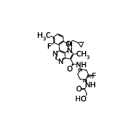 Cc1ccc(OCC2CC2)c(-c2ncnc3c(C(=O)N[C@H]4CC[C@H](NC(=O)CO)[C@H](F)C4)c(C)[nH]c23)c1F